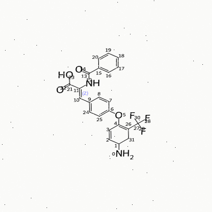 NC1C=CC(Oc2ccc(/C=C(\NC(=O)c3ccccc3)C(=O)O)cc2)=C(C(F)(F)F)C1